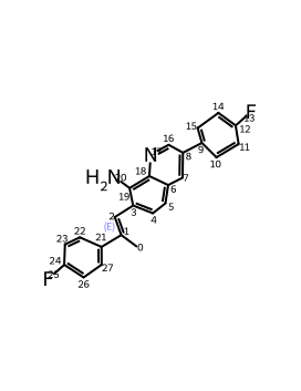 C/C(=C\c1ccc2cc(-c3ccc(F)cc3)cnc2c1N)c1ccc(F)cc1